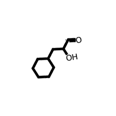 O=[C]C(O)CC1CCCCC1